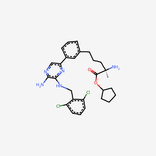 C[C@@](N)(CCCc1cccc(-c2cnc(N)c(NCc3c(Cl)cccc3Cl)n2)c1)C(=O)OC1CCCC1